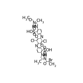 C=C(Br)C(=O)NC(C)CNc1ccc2c(c1S(=O)(=O)O)Oc1c(Cl)c3c(c(Cl)c1=N2)Oc1c(ccc(NCC(C)NCOC)c1S(=O)(=O)O)N=3